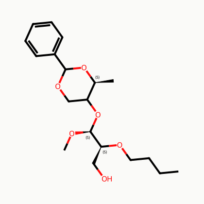 CCCCO[C@@H](CO)[C@@H](OC)OC1COC(c2ccccc2)O[C@H]1C